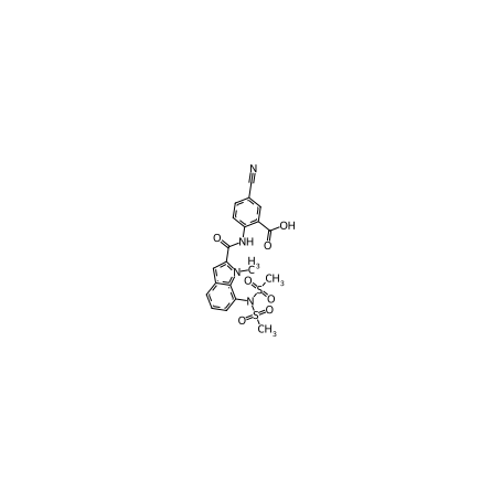 Cn1c(C(=O)Nc2ccc(C#N)cc2C(=O)O)cc2cccc(N(S(C)(=O)=O)S(C)(=O)=O)c21